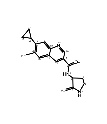 O=C(NC1CCNC1=O)c1cnc2cc(C3CC3)c(F)cc2c1